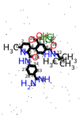 Cc1ccc(-c2ccc(C(=O)NCC(C)(C)C)cc2C(=O)O)c(C(=O)Nc2ccc(C(=N)N)cc2)n1.Cl.Cl